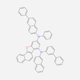 c1ccc(-c2cccc(N(c3ccc4ccccc4c3)c3cc(N(c4ccccc4)c4ccc5cc(-c6ccccc6)ccc5c4)cc4oc5c6ccccc6ccc5c34)c2)cc1